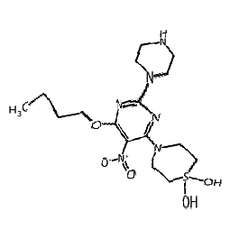 CCCCOc1nc(N2CCNCC2)nc(N2CCS(O)(O)CC2)c1[N+](=O)[O-]